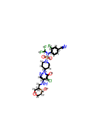 N#Cc1ccc(N(C(F)F)S(=O)(=O)N2CCC(n3ncc(NC[C@@H]4COCC[S@+]4[O-])c(Cl)c3=O)CC2)c(F)c1